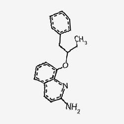 CCC(Cc1ccccc1)Oc1cccc2ccc(N)nc12